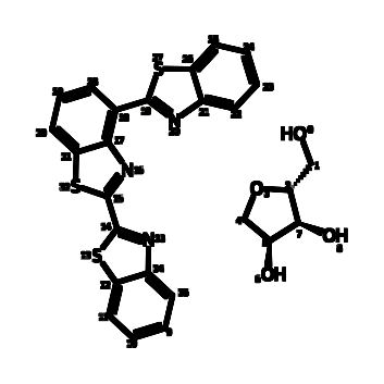 OC[C@H]1OC[C@H](O)[C@@H]1O.c1ccc2sc(-c3nc4c(-c5nc6ccccc6s5)cccc4s3)nc2c1